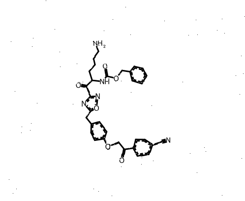 N#Cc1ccc(C(=O)COc2ccc(Cc3nc(C(=O)C(CCCCN)NC(=O)OCc4ccccc4)no3)cc2)cc1